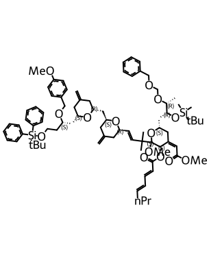 C=C1C[C@H](C[C@@H]2CC(=C)C[C@H](C=CC(C)(C)[C@]3(OC)O[C@H](C[C@@H](O[Si](C)(C)C(C)(C)C)[C@@H](C)OCOCc4ccccc4)CC(=CC(=O)OC)[C@@H]3OC(=O)C=CC=CCCC)O2)O[C@H](C[C@H](CCO[Si](c2ccccc2)(c2ccccc2)C(C)(C)C)OCc2ccc(OC)cc2)C1